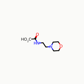 O=C(O)C(=O)NCCN1CCOCC1